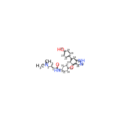 CN(C)C/C=C/C(=O)NC1CCC(Oc2cc(-c3ccc(O)cc3)cc3[nH]ncc23)CC1